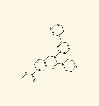 COC(=O)c1ccc(CN(C(=O)N2CCOCC2)c2cccc(-c3cccnc3)c2)cc1